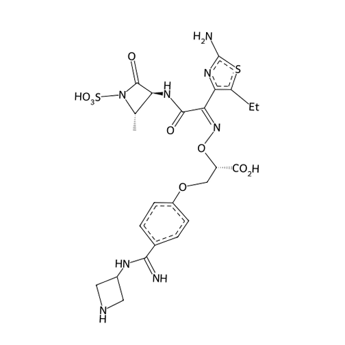 CCc1sc(N)nc1/C(=N/O[C@@H](COc1ccc(C(=N)NC2CNC2)cc1)C(=O)O)C(=O)N[C@@H]1C(=O)N(S(=O)(=O)O)[C@H]1C